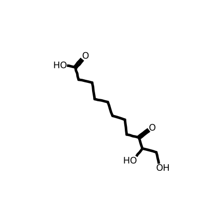 O=C(O)CCCCCCCC(=O)C(O)CO